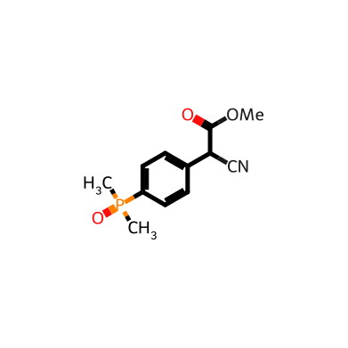 COC(=O)C(C#N)c1ccc(P(C)(C)=O)cc1